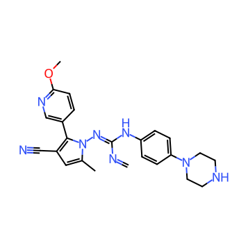 C=N/C(=N\n1c(C)cc(C#N)c1-c1ccc(OC)nc1)Nc1ccc(N2CCNCC2)cc1